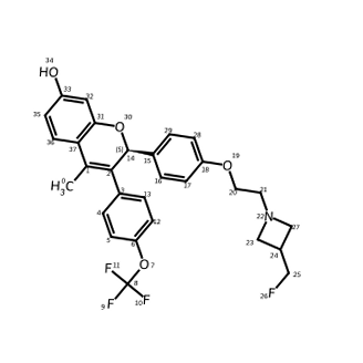 CC1=C(c2ccc(OC(F)(F)F)cc2)[C@H](c2ccc(OCCN3CC(CF)C3)cc2)Oc2cc(O)ccc21